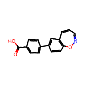 O=C(O)c1ccc(-c2ccc3c(c2)C=CC=NO3)cc1